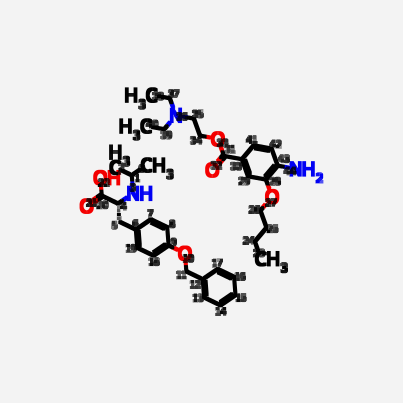 CC(C)N[C@H](Cc1ccc(OCc2ccccc2)cc1)C(=O)O.CCCCOc1cc(C(=O)OCCN(CC)CC)ccc1N